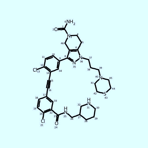 NC(=O)N1CCc2c(c(-c3ccc(Cl)c(C#Cc4ccc(Cl)c(C(=O)NCC5CCCNC5)c4)c3)nn2CCCN2CCSCC2)C1